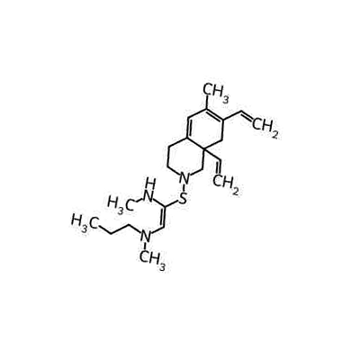 C=CC1=C(C)C=C2CCN(S/C(=C/N(C)CCC)NC)CC2(C=C)C1